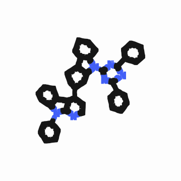 c1ccc(-c2nc(-c3ccccc3)nc(-n3c4ccccc4c4ccc(-c5ccnc6c5c5ccccc5n6-c5ccccc5)cc43)n2)cc1